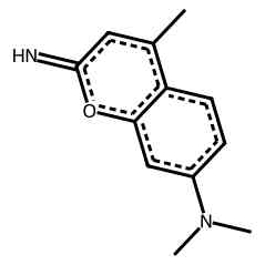 Cc1cc(=N)oc2cc(N(C)C)ccc12